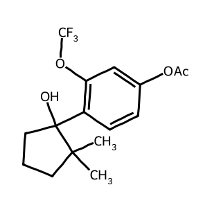 CC(=O)Oc1ccc(C2(O)CCCC2(C)C)c(OC(F)(F)F)c1